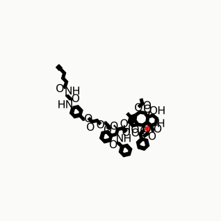 C#CCCCC(=O)NCC(=O)Nc1ccc(COC(=O)COCC(=O)O[C@@H](C(=O)O[C@H]2C[C@@]3(O)[C@@H](OC(=O)c4ccccc4)[C@@H]4[C@]5(OC(C)=O)CO[C@@H]5C[C@H](O)[C@@]4(C)C(=O)[C@H](OC(C)=O)C(=C2C)C3(C)C)C(NC(=O)c2ccccc2)c2ccccc2)cc1